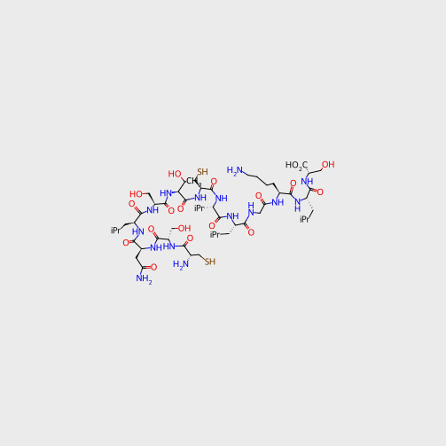 CC(C)C[C@H](NC(=O)[C@H](CCCCN)NC(=O)CNC(=O)[C@H](CC(C)C)NC(=O)[C@@H](NC(=O)[C@H](CS)NC(=O)[C@@H](NC(=O)[C@H](CO)NC(=O)[C@H](CC(C)C)NC(=O)[C@H](CC(N)=O)NC(=O)[C@H](CO)NC(=O)[C@@H](N)CS)[C@@H](C)O)C(C)C)C(=O)N[C@@H](CO)C(=O)O